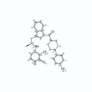 C[C@@H](Cn1cc(C(=O)N2CCN(c3ncc(C(F)(F)F)cn3)CC2)c2ccncc21)Nc1cn[nH]c(=O)c1C(F)(F)F